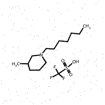 CCCCCCCN1CCCC(C)C1.O=S(=O)(O)C(F)(F)F